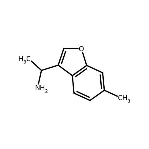 Cc1ccc2c(C(C)N)coc2c1